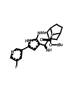 CNc1[nH]c(-c2cncc(F)c2)cc1C(=N)N1CC2CCC(C1)N2C(=O)OC(C)(C)C